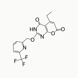 CCc1cc(=O)oc2nc(OCc3cccc(C(F)(F)F)n3)[nH]c(=O)c12